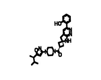 CC(C)[C@@H](C)c1cc(N2CCN(C(=O)[C@H]3C[C@@]4(Cc5cc(-c6ccccc6O)nnc5N4)C3)CC2)no1